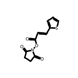 O=C(C=Cc1cccs1)ON1C(=O)CCC1=O